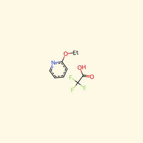 CCOc1ccccn1.O=C(O)C(F)(F)F